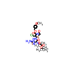 COc1ccc(COC(=O)C2=C(CCl)C(NC(=O)/C(=N\OC(C)(C)C(=O)OC(C)(C)C)c3nsc(N)n3)SC3CC(=O)N23)cc1